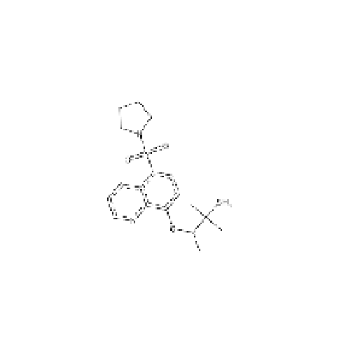 CC(Oc1ccc(S(=O)(=O)N2CCCC2)c2cccnc12)C(C)(C)[SiH3]